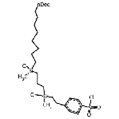 CCCCCCCCCCCCCCCCCC[Si](C)(Cl)CCC[Si](C)(Cl)CCc1ccc(S(=O)(=O)Cl)cc1